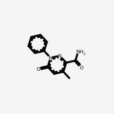 Cc1cc(=O)n(-c2ccccc2)nc1C(N)=O